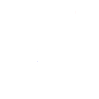 C/C(=C\c1ccccc1)C(=O)Nc1ccc(CC(=O)O)cc1